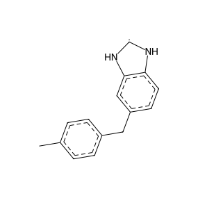 Cc1ccc(Cc2ccc3c(c2)N[CH]N3)cc1